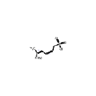 CN/C(C)=C\C=C/CS(=O)(=O)Cl